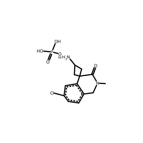 CN1Cc2ccc(Cl)cc2C2(CC(N)C2)C1=O.O=P(O)(O)O